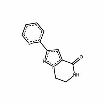 O=C1NCCn2nc(-c3ccccn3)cc21